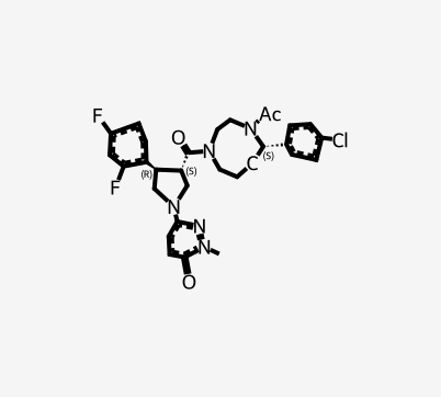 CC(=O)N1CCN(C(=O)[C@@H]2CN(c3ccc(=O)n(C)n3)C[C@H]2c2ccc(F)cc2F)CCC[C@H]1c1ccc(Cl)cc1